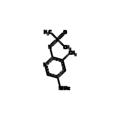 CC(=O)Nc1cnc(N=S(C)(C)=O)c(C)c1